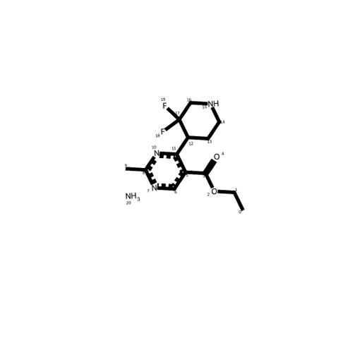 CCOC(=O)c1cnc(C)nc1C1CCNCC1(F)F.N